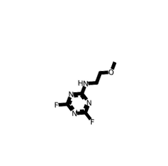 COCCNc1nc(F)nc(F)n1